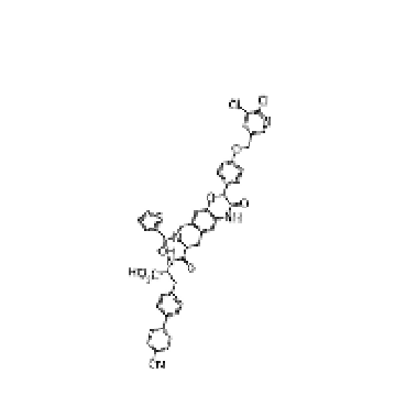 N#Cc1ccc(-c2ccc(C[C@H](NC(=O)C3Cc4cc5c(cc4CN3C(=O)c3cccs3)OC(c3ccc(OCc4cnc(Cl)c(Cl)c4)cc3)C(=O)N5)C(=O)O)cc2)cc1